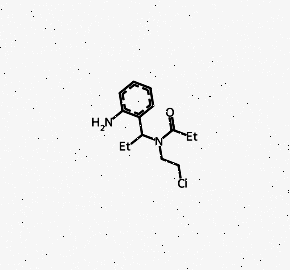 CCC(=O)N(CCCl)C(CC)c1ccccc1N